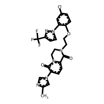 Cc1cn(-c2ccc3n(c2=O)CCN(CCOc2ccc(Cl)cc2-n2ccc(C(F)(F)F)n2)C3=O)cn1